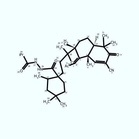 CC(=O)/C=C1/[C@@]2(C)C=C(C#N)C(=O)C(C)(C)[C@@H]2CC[C@@]1(C)C(C)(C)CC[C@@]1(C(=O)NNC(=O)C(C)C)CCC(C)(C)CC1C